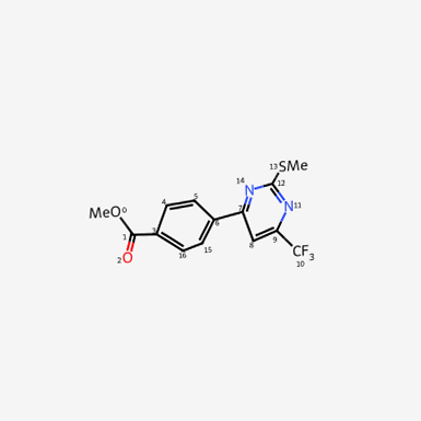 COC(=O)c1ccc(-c2cc(C(F)(F)F)nc(SC)n2)cc1